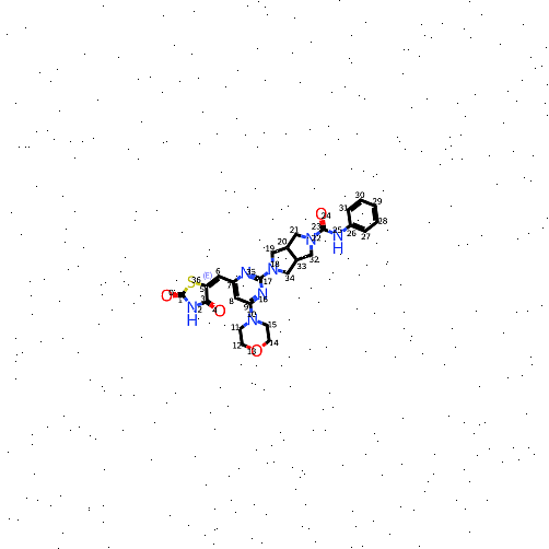 O=C1NC(=O)/C(=C\c2cc(N3CCOCC3)nc(N3CC4CN(C(=O)Nc5ccccc5)CC4C3)n2)S1